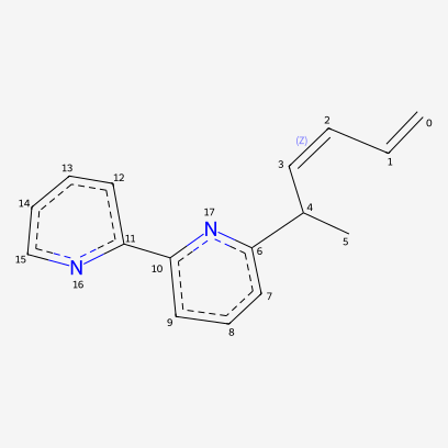 C=C/C=C\C(C)c1cccc(-c2ccccn2)n1